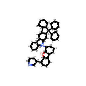 c1ccc(C2(c3ccccc3)c3ccccc3-c3cc4c5ccccc5n(-c5cccc6c5oc5c(-c7cccnc7)cccc56)c4cc32)cc1